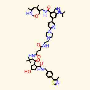 C/C1=C/C(C)=C(/CNC(=O)c2cc(-c3ccc(N4CCN(CCNC(=O)CCC(=O)N[C@H](C(=O)C5C[C@H](O)CC5C(=O)NCc5ccc(-c6scnc6C)cc5)C(C)(C)C)CC4)nc3)cc3c2cnn3C(C)C)COCN1